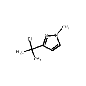 CCC(C)(C)c1ccn(C)n1